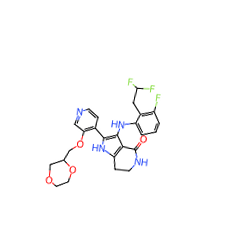 O=C1NCCc2[nH]c(-c3ccncc3OCC3COCCO3)c(Nc3cccc(F)c3CC(F)F)c21